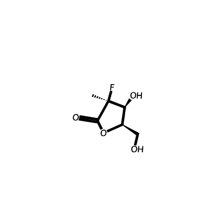 C[C@@]1(F)C(=O)O[C@H](CO)[C@@H]1O